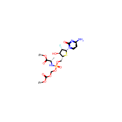 CC(C)OC(=O)OCOP(=O)(N[C@@H](C)C(=O)OC(C)C)OC[C@H]1S[C@@H](n2ccc(N)nc2=O)[C@@H](F)[C@@H]1O